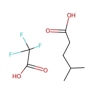 CC(C)CCC(=O)O.O=C(O)C(F)(F)F